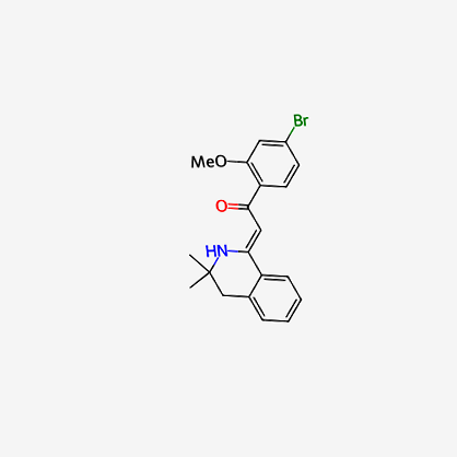 COc1cc(Br)ccc1C(=O)/C=C1\NC(C)(C)Cc2ccccc21